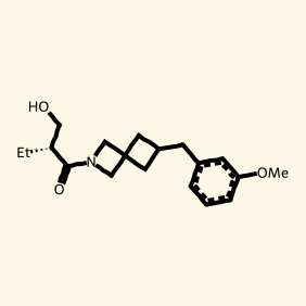 CC[C@H](CO)C(=O)N1CC2(CC(Cc3cccc(OC)c3)C2)C1